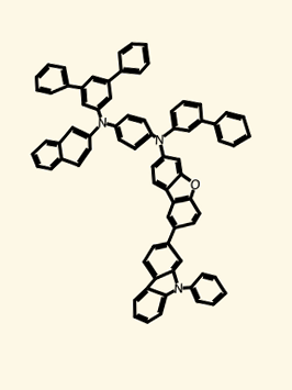 c1ccc(-c2cccc(N(c3ccc(N(c4cc(-c5ccccc5)cc(-c5ccccc5)c4)c4ccc5ccccc5c4)cc3)c3ccc4c(c3)oc3ccc(-c5ccc6c7ccccc7n(-c7ccccc7)c6c5)cc34)c2)cc1